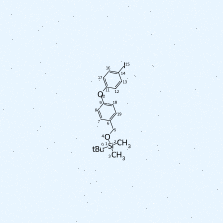 CC(C)(C)[Si](C)(C)OCc1ccc(Oc2ccc(I)cc2)cc1